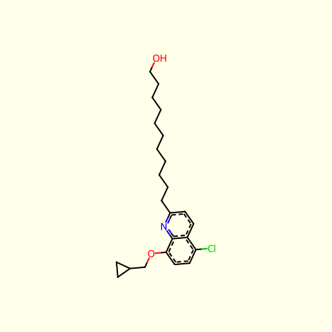 OCCCCCCCCCCCc1ccc2c(Cl)ccc(OCC3CC3)c2n1